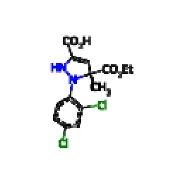 CCOC(=O)C1(C)C=C(C(=O)O)NN1c1ccc(Cl)cc1Cl